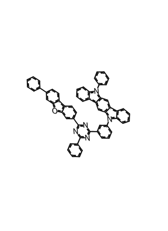 c1ccc(-c2ccc3c(c2)oc2cc(-c4nc(-c5ccccc5)nc(-c5cccc(-n6c7ccccc7c7cc8c(cc76)c6ccccc6n8-c6ccccc6)c5)n4)ccc23)cc1